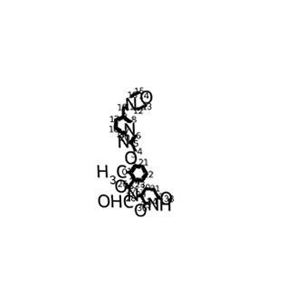 Cc1c(OCc2cn3cc(CN4CCOCC4)ccc3n2)cccc1C(=O)N(C=O)C1CCC(=O)NC1=O